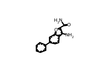 NC(=O)c1oc2cc(-c3ccccc3)ccc2c1N